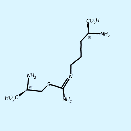 NC(=NCCC[C@H](N)C(=O)O)SC[C@H](N)C(=O)O